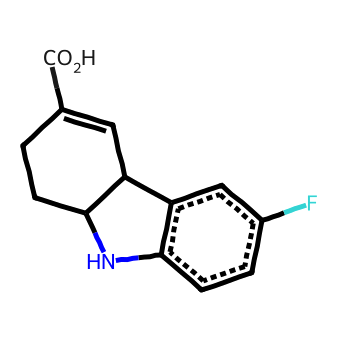 O=C(O)C1=CC2c3cc(F)ccc3NC2CC1